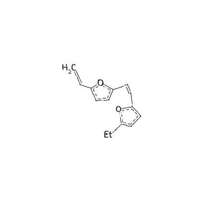 C=Cc1ccc(/C=C\c2ccc(CC)o2)o1